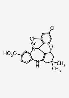 CC(=O)N1c2cc(C(=O)O)ccc2NC2=C(C(=O)CC(C)(C)C2)C1c1ccc(Cl)cc1Cl